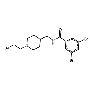 NCCN1CCC(CNC(=O)c2cc(Br)cc(Br)c2)CC1